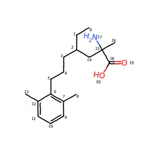 CCC(CCCc1c(C)cccc1C)CC(C)(N)C(=O)O